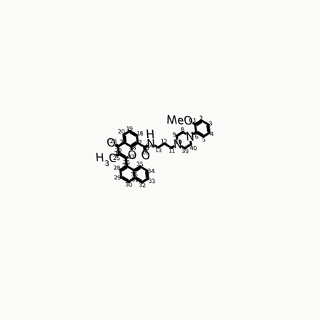 COc1ccccc1N1CCN(CCCNC(=O)c2cccc3c(=O)c(C)c(-c4cccc5ccccc45)oc23)CC1